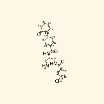 CNCC(CNC(=O)c1ccc(Cl)s1)NC(=O)c1ccc(-n2ccccc2=O)cc1